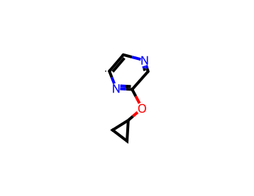 [c]1cncc(OC2CC2)n1